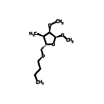 CCCCOC[C@H]1O[C@H](OC)[C@H](OC)[C@@H]1C